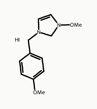 COc1ccc(CN2C=CN(OC)C2)cc1.I